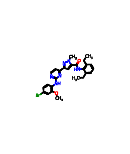 CCc1cccc(CC)c1NC(=O)c1cc(-c2ccnc(Nc3ccc(Br)cc3OC)n2)nn1C